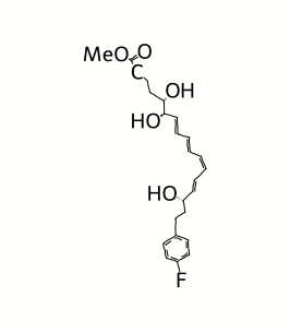 COC(=O)CCC[C@H](O)[C@H](O)/C=C/C=C/C=C\C=C\[C@@H](O)CCc1ccc(F)cc1